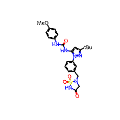 COc1ccc(NC(=O)Nc2cc(C(C)(C)C)nn2-c2cccc(CN3CC(=O)NS3(=O)=O)c2)cc1